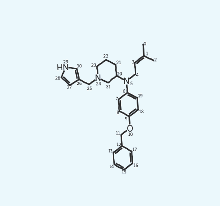 CC(C)=CCN(c1ccc(OCc2ccccc2)cc1)C1CCCN(Cc2cc[nH]c2)C1